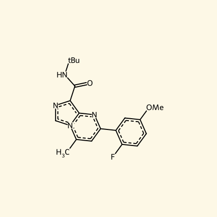 COc1ccc(F)c(-c2cc(C)n3cnc(C(=O)NC(C)(C)C)c3n2)c1